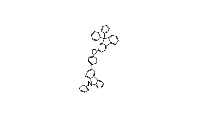 C1=CCCC(n2c3ccccc3c3cc(-c4ccc(Oc5ccc6c(c5)C(c5ccccc5)(c5ccccc5)c5ccccc5-6)cc4)ccc32)=C1